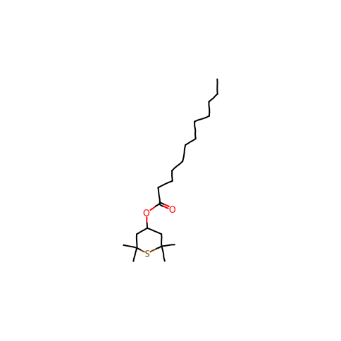 CCCCCCCCCCCC(=O)OC1CC(C)(C)SC(C)(C)C1